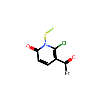 CCC(=O)c1ccc(=O)n(SF)c1Cl